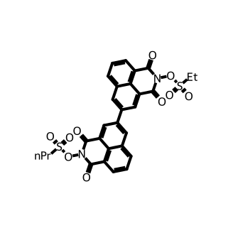 CCCS(=O)(=O)ON1C(=O)c2cccc3cc(-c4cc5c6c(cccc6c4)C(=O)N(OS(=O)(=O)CC)C5=O)cc(c23)C1=O